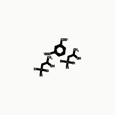 CC[N+](CC)(CC)CC(C)O.CC[N+](CC)(CC)CC(C)O.O=C([O-])c1cccc(C(=O)[O-])c1